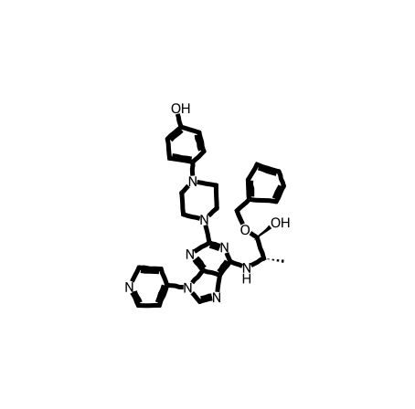 C[C@H](Nc1nc(N2CCN(c3ccc(O)cc3)CC2)nc2c1ncn2-c1ccncc1)[C@H](O)OCc1ccccc1